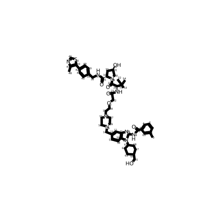 Cc1cccc(C(=O)Nc2nc3cc(CN4CCN(CCOCC(=O)N[C@H](C(=O)N5C[C@H](O)C[C@H]5C(=O)NCc5ccc(-c6scnc6C)cc5)C(C)(C)C)CC4)ccc3n2C2CCC(CO)CC2)c1